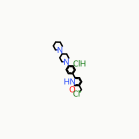 Cl.O=c1[nH]c(-c2ccc(N3CCC(N4CCCCC4)CC3)cc2)ccc1CCl